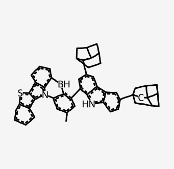 Cc1cc(-c2cc(C3C4CCC5CC(C4)C53)cc3c2[nH]c2ccc(C45CC6CC7CC(C4)C76C5)cc23)c2c(c1)-n1c3c(cccc3c3sc4ccccc4c31)B2